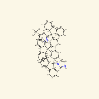 CC(C)(C)c1ccnc(C2(c3cccc(C4(c5cccc(C6(n7ccnc7)c7ccccc7-c7ccccc76)c5)c5ccccc5-c5ccccc54)c3)c3ccccc3-c3ccccc32)c1